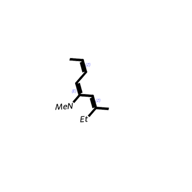 C\C=C/C=C(\C=C(\C)CC)NC